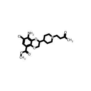 COC(=O)c1cc(Cl)c(N)c2c1OCC(C1CCN(CCC(C)=O)CC1)O2